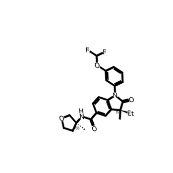 CC[C@]1(C)C(=O)N(c2cccc(OC(F)F)c2)c2ccc(C(=O)N[C@@]3(C)CCOC3)cc21